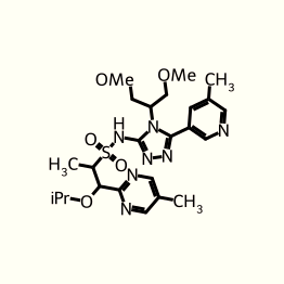 COCC(COC)n1c(NS(=O)(=O)C(C)C(OC(C)C)c2ncc(C)cn2)nnc1-c1cncc(C)c1